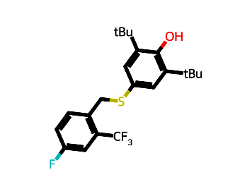 CC(C)(C)c1cc(SCc2ccc(F)cc2C(F)(F)F)cc(C(C)(C)C)c1O